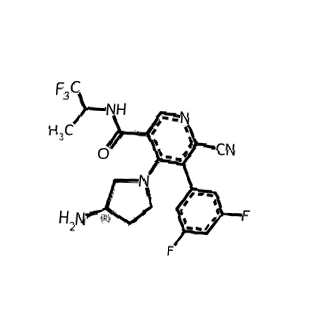 CC(NC(=O)c1cnc(C#N)c(-c2cc(F)cc(F)c2)c1N1CC[C@@H](N)C1)C(F)(F)F